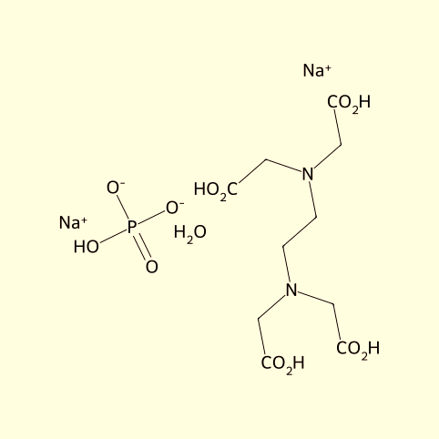 O.O=C(O)CN(CCN(CC(=O)O)CC(=O)O)CC(=O)O.O=P([O-])([O-])O.[Na+].[Na+]